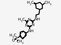 C=C1CC(C)CC(CCNc2nc(C)nc(Nc3ccc(P(C)(C)=O)cc3)n2)C1